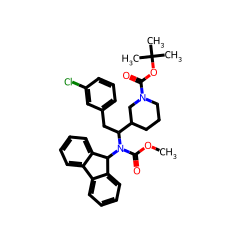 COC(=O)N(C1c2ccccc2-c2ccccc21)C(Cc1cccc(Cl)c1)C1CCCN(C(=O)OC(C)(C)C)C1